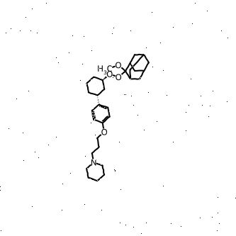 COC1(OO[C@@H]2CCC[C@@H](c3ccc(OCCCN4CCCCC4)cc3)C2)C2CC3CC(C2)CC1C3